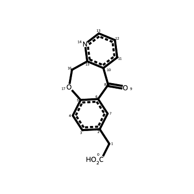 O=C(O)Cc1ccc2c(c1)C(=O)c1cccnc1CO2